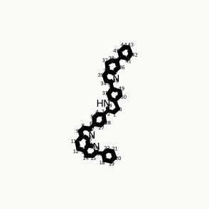 C1=CC(c2ccc(-c3ccc4ccc5ccc(-c6ccccc6)nc5c4n3)cc2)Nc2cc(-c3ccc4ccc(-c5ccccc5)cc4n3)ccc21